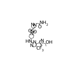 CC(O)c1ncc(-c2nc(NC3CCN(S(=O)(=O)c4cnn(CC(N)=O)c4)CC3)ncc2C(F)(F)F)s1